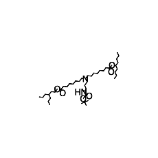 CCCCC(CCCC)OC(=O)CCCCCCCN(CCCCCCCC(=O)OCCC(CCC)CCC)CCCNC(=O)OC(C)(C)C